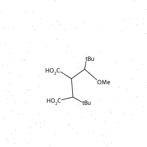 COC(C(C(=O)O)C(C(=O)O)C(C)(C)C)C(C)(C)C